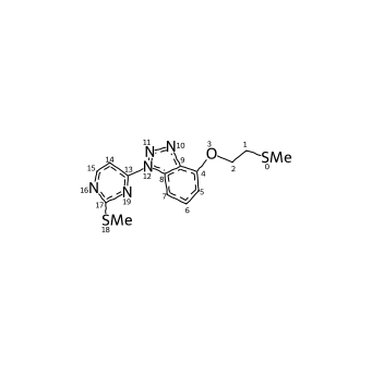 CSCCOc1cccc2c1nnn2-c1ccnc(SC)n1